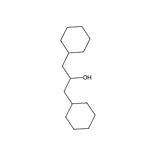 OC(CC1CCCCC1)CC1CCCCC1